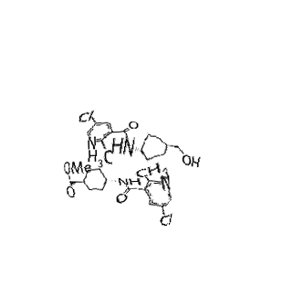 COC(=O)[C@H]1CC[C@H](NC(=O)c2cc(Cl)cnc2C)CC1.Cc1ncc(Cl)cc1C(=O)N[C@H]1CC[C@H](CO)CC1